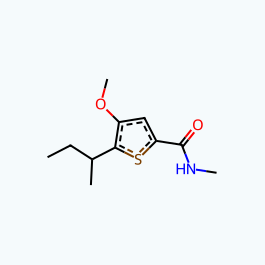 CCC(C)c1sc(C(=O)NC)cc1OC